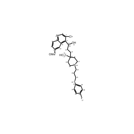 COc1ccc2ncc(Cl)c([C@@H](O)CCC3(C(=O)O)CCN(CCCSc4ccc(F)cc4)CC3)c2c1